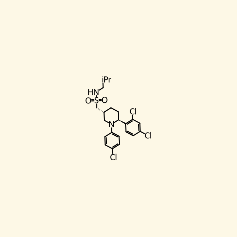 CC(C)CNS(=O)(=O)C[C@@H]1CC[C@@H](c2ccc(Cl)cc2Cl)N(c2ccc(Cl)cc2)C1